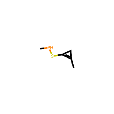 CPSC1=C(C)C1